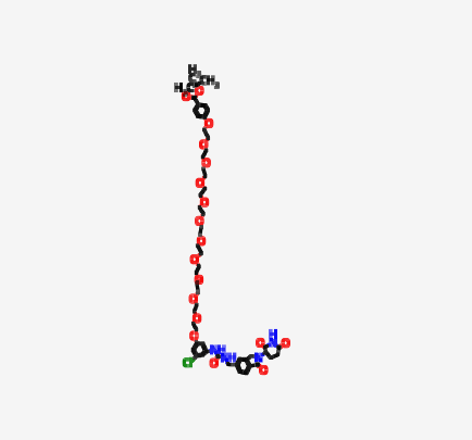 CC(C)(C)OC(=O)c1ccc(OCCOCCOCCOCCOCCOCCOCCOCCOCCOCCOCCOc2cc(Cl)cc(NC(=O)NCc3ccc4c(c3)CN(C3CCC(=O)NC3=O)C4=O)c2)cc1